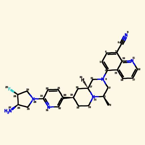 C[C@@H]1CN(c2ccc(C#N)c3ncccc23)C[C@@H]2C[C@H](c3ccc(N4C[C@@H](N)[C@@H](F)C4)nc3)CCN21